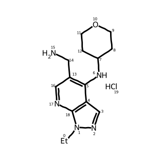 CCn1ncc2c(NC3CCOCC3)c(CN)cnc21.Cl